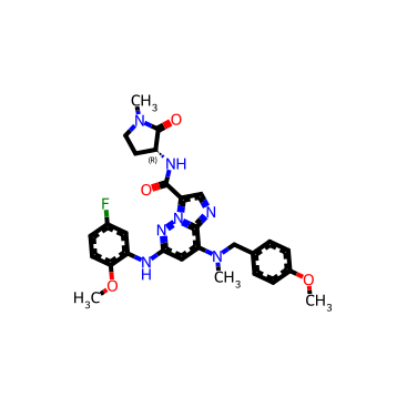 COc1ccc(CN(C)c2cc(Nc3cc(F)ccc3OC)nn3c(C(=O)N[C@@H]4CCN(C)C4=O)cnc23)cc1